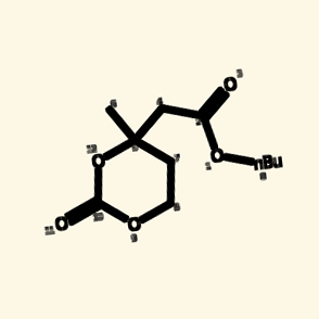 CCCCOC(=O)CC1(C)CCOC(=O)O1